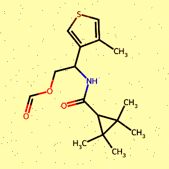 Cc1cscc1C(COC=O)NC(=O)C1C(C)(C)C1(C)C